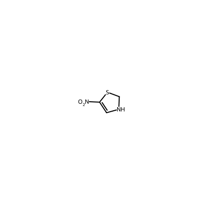 O=[N+]([O-])C1=CNCS1